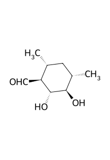 C[C@@H]1C[C@H](C)[C@@H](O)[C@H](O)[C@H]1C=O